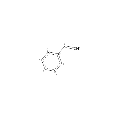 [CH]=Cc1cnccn1